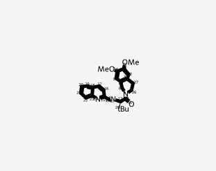 COc1cc2c(cc1OC)CN(C(=O)[C@@H](NCc1ccc3ccccc3n1)C(C)(C)C)CC2